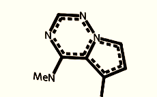 CNc1ncnn2ccc(C(C)C)c12